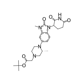 C[C@@H]1CN(CC(=O)OC(C)(C)C)CCN1c1ccc2c(c1)n(C)c(=O)n2C1CCC(=O)NC1=O